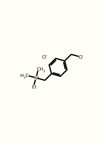 CC[N+](C)(C)Cc1ccc(CCl)cc1.[Cl-]